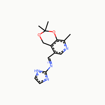 Cc1ncc(/C=N/c2ncc[nH]2)c2c1OC(C)(C)OC2